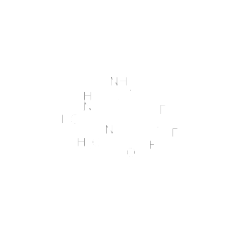 CNc1c(N)cc(C(F)(F)F)c(=O)n1C